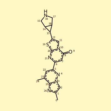 Cc1cn2nc(-c3cc(=O)n4cc(C5C6CNCC65)sc4n3)cc(C)c2n1